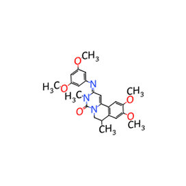 COc1cc(/N=c2/cc3n(c(=O)n2C)CC(C)c2cc(OC)c(OC)cc2-3)cc(OC)c1